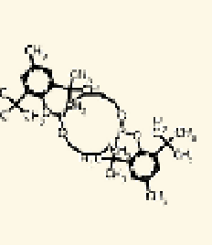 Cc1cc(C(C)(C)C)c(OP2OCCCOP(Oc3c(C(C)(C)C)cc(C)cc3C(C)(C)C)OCCCO2)c(C(C)(C)C)c1